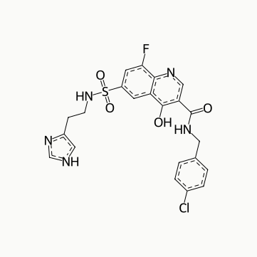 O=C(NCc1ccc(Cl)cc1)c1cnc2c(F)cc(S(=O)(=O)NCCc3c[nH]cn3)cc2c1O